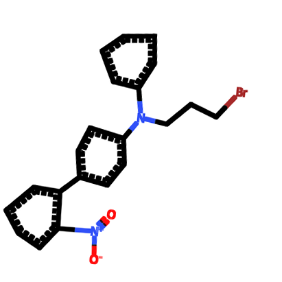 O=[N+]([O-])c1ccccc1-c1ccc(N(CCCBr)c2ccccc2)cc1